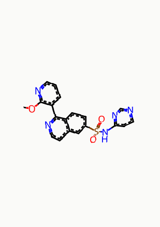 COc1ncccc1-c1nccc2cc(S(=O)(=O)Nc3ccncn3)ccc12